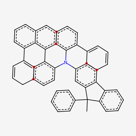 CC1(c2ccccc2)c2ccccc2-c2ccc(N(c3ccccc3C3=CC=CCC3)c3ccccc3-c3cccc4cccc(C5=CCCC=C5)c34)cc21